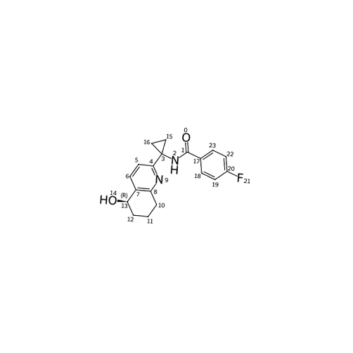 O=C(NC1(c2ccc3c(n2)CCC[C@H]3O)CC1)c1ccc(F)cc1